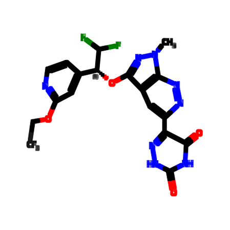 Cn1nc(O[C@H](c2ccnc(OCC(F)(F)F)c2)C(F)F)c2cc(-c3n[nH]c(=O)[nH]c3=O)nnc21